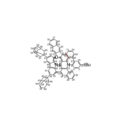 CC(C)(C)c1ccc(N2c3ccc4c(oc5cc6ccccc6cc54)c3B3c4c(cc5ccccc5c42)-c2cc(C45CC6CC(CC(C6)C4)C5)cc4c5cc(C67CC8CC(CC(C8)C6)C7)ccc5n3c24)c(-c2ccccc2)c1